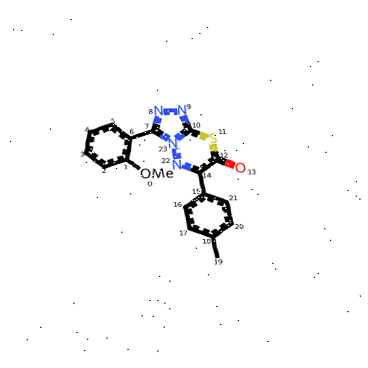 COc1ccccc1-c1nnc2sc(=O)c(-c3ccc(C)cc3)nn12